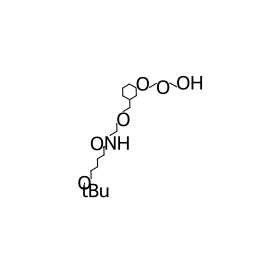 CC(C)(C)OCCCCCC(=O)NCCCOCCC1CCCC(OCCOCCO)C1